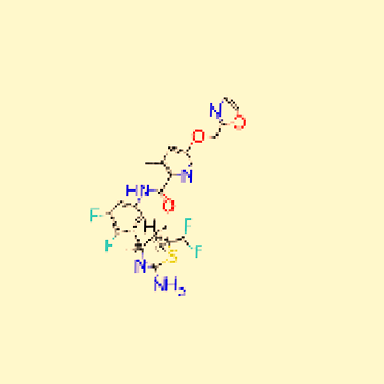 Cc1cc(OCc2ncco2)cnc1C(=O)Nc1cc(F)c(F)c([C@]2(C)N=C(N)S[C@@]3(C(F)F)C[C@@H]23)c1